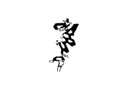 COc1nc(-c2cccc(-c3cccc(Nc4nc(C)nc5cccnc45)c3C)c2Cl)ccc1CN[C@@H]1CCC(=O)NC1